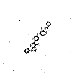 Cn1c(Nc2ccccc2)ncc(-c2ccc(Oc3ccnc(NC(=O)N4CCCC4)c3)cn2)c1=O